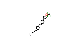 CCCCCC1CCC(CCC2CCC(c3ccc(OC(F)(F)C(F)F)cc3)CC2)CC1